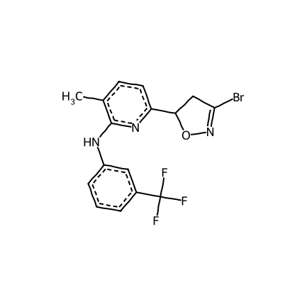 Cc1ccc(C2CC(Br)=NO2)nc1Nc1cccc(C(F)(F)F)c1